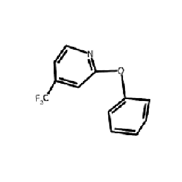 FC(F)(F)c1ccnc(Oc2ccccc2)c1